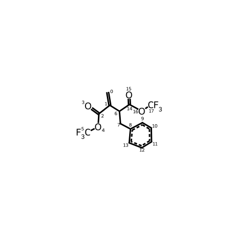 C=C(C(=O)OC(F)(F)F)C(Cc1ccccc1)C(=O)OC(F)(F)F